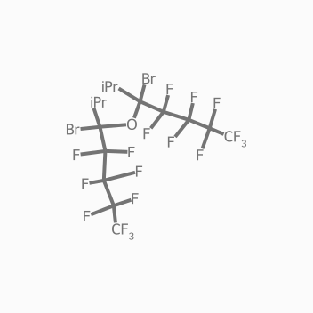 CC(C)C(Br)(OC(Br)(C(C)C)C(F)(F)C(F)(F)C(F)(F)C(F)(F)F)C(F)(F)C(F)(F)C(F)(F)C(F)(F)F